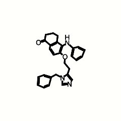 O=C1CCCc2c1ccc(OCCc1cncn1Cc1ccccc1)c2Nc1ccccc1